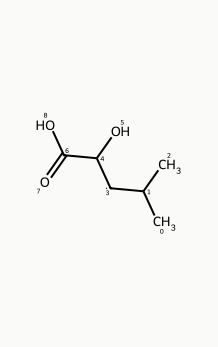 CC(C)[CH]C(O)C(=O)O